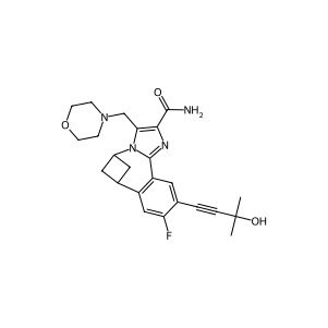 CC(C)(O)C#Cc1cc2c(cc1F)C1CC(C1)n1c-2nc(C(N)=O)c1CN1CCOCC1